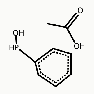 CC(=O)O.OPc1ccccc1